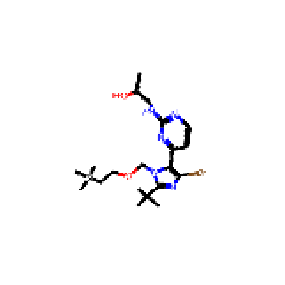 CC(O)CNc1nccc(-c2c(Br)nc(C(C)(C)C)n2COCC[Si](C)(C)C)n1